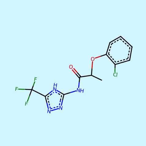 CC(Oc1ccccc1Cl)C(=O)Nc1nnc(C(F)(F)F)[nH]1